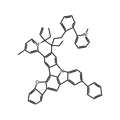 C=CC1(CC)[n+]2ccc(C)cc2-c2cc3c4c5oc6ccccc6c5cc5c6cc(-c7ccccc7)ccc6n(c3cc2C1(CC)CCc1ccccc1-c1cccc[n+]1C)c54